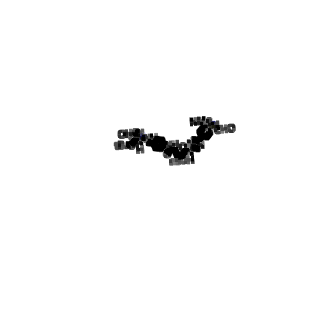 CCCCC(CCC(=O)Nc1ccc(CN/C(=N/C=O)NC(=O)OC(C)(C)C)cc1)C(=O)Nc1cnc(C2=CCN(/C(=N\C=O)NC)CC2)cn1